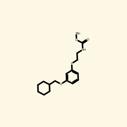 CC(C)(C)OC(=O)NCCSc1cccc(OCC2CCCCC2)c1